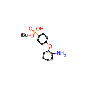 CCC(C)OP(=O)(O)c1ccc(Oc2ccccc2N)cc1